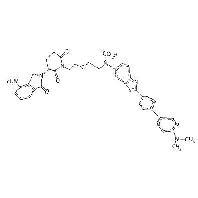 CN(C)c1ccc(-c2ccc(-c3nc4ccc(N(CCOCCN5C(=O)CCC(N6Cc7c(N)cccc7C6=O)C5=O)C(=O)O)cc4s3)cc2)cn1